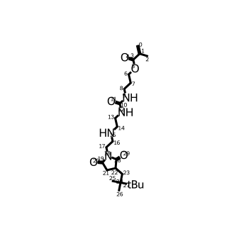 C=C(C)C(=O)OCCCNC(=O)NCCNCCN1C(=O)CC(CC(C)(C)C(C)(C)C)C1=O